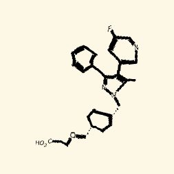 Cc1c(-c2cncc(F)c2)c(-c2ccccc2)nn1C[C@H]1CC[C@@H](COCC(=O)O)CC1